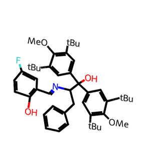 COc1c(C(C)(C)C)cc(C(O)(c2cc(C(C)(C)C)c(OC)c(C(C)(C)C)c2)C(Cc2ccccc2)N=Cc2cc(F)ccc2O)cc1C(C)(C)C